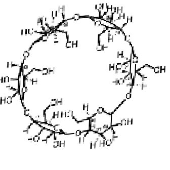 OC[C@H]1CC2O[C@H]3[C@H](O)[C@@H](O)C(O[C@H]4[C@H](O)[C@@H](O)C(O[C@H]5[C@H](O)[C@@H](O)C(O[C@H]6[C@H](O)[C@@H](O)C(O[C@@H]6CO)O[C@H]6C(O)[C@@H](O)C(O[C@@H]6CO)O[C@H]1C(O)[C@H]2O)O[C@@H]5CO)O[C@@H]4CO)O[C@@H]3CO